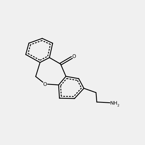 NCCc1ccc2c(c1)C(=O)c1ccccc1CO2